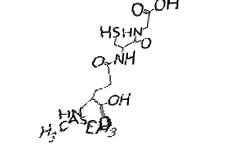 C[As](C)NC(CCC(=O)NC(CS)C(=O)NCC(=O)O)C(=O)O